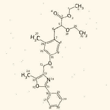 CCOC(=O)C(Cc1ccc(OCc2nc(-c3ccccc3)oc2C)cc1C)OCC